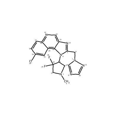 CN1CC(n2c(Cn3cncn3)nc3cnc4ccc(Cl)cc4c32)C(F)(F)C1